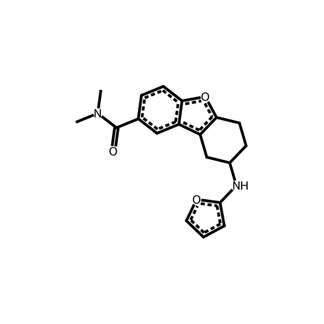 CN(C)C(=O)c1ccc2oc3c(c2c1)CC(Nc1ccco1)CC3